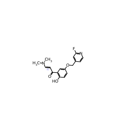 CN(C)/C=C/C(=O)c1cc(OCc2ccnc(F)c2)ccc1O